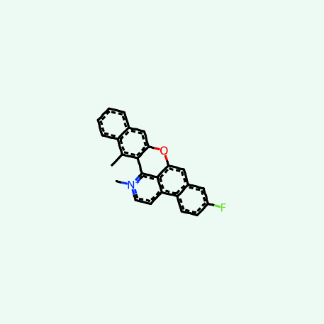 Cc1c2c(cc3ccccc13)Oc1cc3cc(F)ccc3c3cc[n+](C)c-2c13